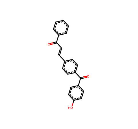 O=C(/C=C/c1ccc(C(=O)c2ccc(O)cc2)cc1)c1ccccc1